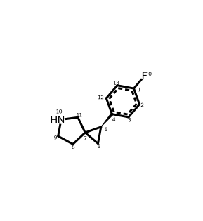 Fc1ccc([C@H]2CC23CCNC3)cc1